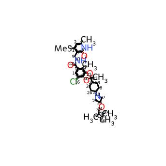 CSc1cc(C)[nH]c(=O)c1CNC(=O)c1cc(Cl)c2c(c1C)OC(C)(C1CCC(N3CC(OC[Si](C)(C)C)C3)CC1)O2